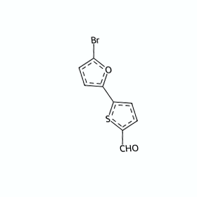 O=Cc1ccc(-c2ccc(Br)o2)s1